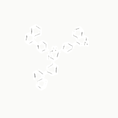 C1=Cc2cccc(-c3cccc(-c4cc(-c5ccc(-c6cncc7ccccc67)cc5)nc(-c5ccc(-c6cccc7ccccc67)cc5)n4)c3)c2CC1